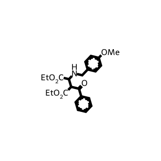 CCOC(=O)C(NCc1ccc(OC)cc1)C(C(=O)OCC)C(=O)c1ccccc1